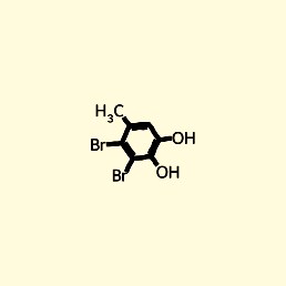 Cc1cc(O)c(O)c(Br)c1Br